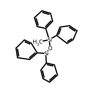 C[Si](O[Si](c1ccccc1)c1ccccc1)(c1ccccc1)c1ccccc1